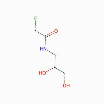 O=C(CF)NCC(O)CO